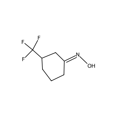 O/N=C1\CCCC(C(F)(F)F)C1